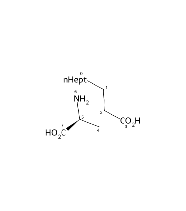 CCCCCCCCCC(=O)O.C[C@H](N)C(=O)O